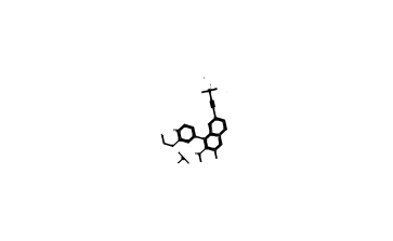 Cc1cc2ccc(C#CC(C)(C)N)cc2c(-c2ccc3c(c2)CCCO3)c1C(C)OC(C)(C)C